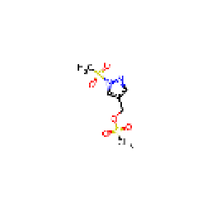 CS(=O)(=O)OCc1cnn(S(C)(=O)=O)c1